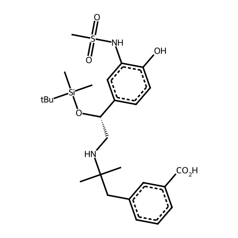 CC(C)(Cc1cccc(C(=O)O)c1)NC[C@H](O[Si](C)(C)C(C)(C)C)c1ccc(O)c(NS(C)(=O)=O)c1